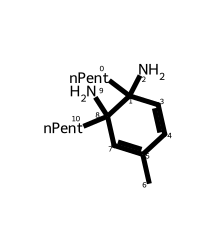 CCCCCC1(N)C=CC(C)=CC1(N)CCCCC